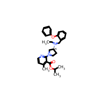 CCN(Cc1ccccc1Oc1ccccc1)[C@@H]1CCN(c2nccc(C)c2C(=O)OC(C)C)C1